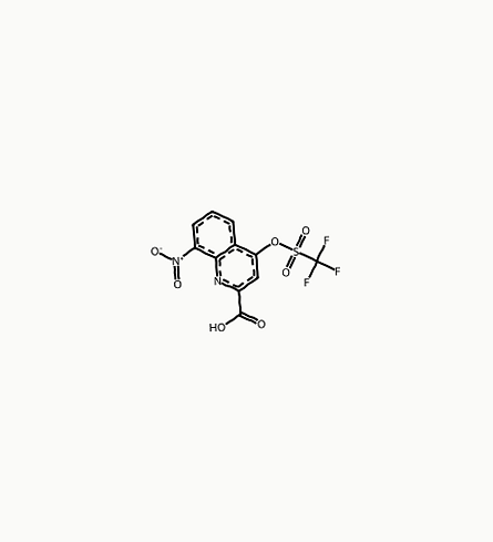 O=C(O)c1cc(OS(=O)(=O)C(F)(F)F)c2cccc([N+](=O)[O-])c2n1